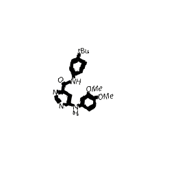 COc1ccc(Nc2cc(C(=O)Nc3ccc(C(C)(C)C)cc3)ncn2)cc1OC